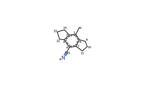 Cc1c2c(c(C#N)c3c1CCC3)CCC2